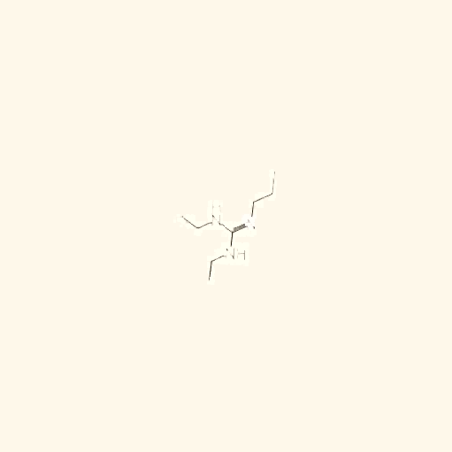 CCCN=C(NCC)NCC